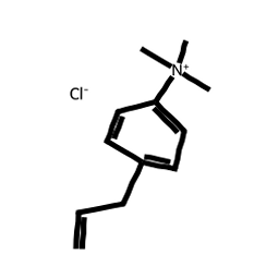 C=CCc1ccc([N+](C)(C)C)cc1.[Cl-]